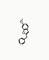 COc1ccc2cc(Cc3ccccc3)oc2c1